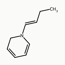 CCC=CN1C=CC=CC1